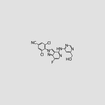 N#Cc1cc(Cl)c(-n2cc3c(Nc4cc(CO)ncn4)ncc(F)c3n2)c(Cl)c1